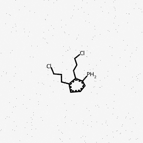 Pc1cccc(CCCCl)c1CCCCl